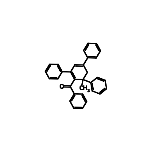 CC1(c2ccccc2)CC(c2ccccc2)=CC(c2ccccc2)=C1C(=O)c1ccccc1